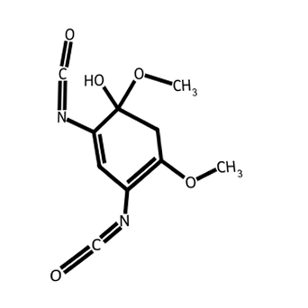 COC1=C(N=C=O)C=C(N=C=O)C(O)(OC)C1